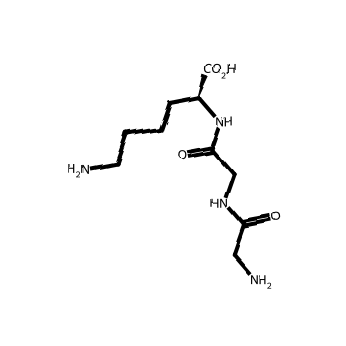 NCCCC[C@H](NC(=O)CNC(=O)CN)C(=O)O